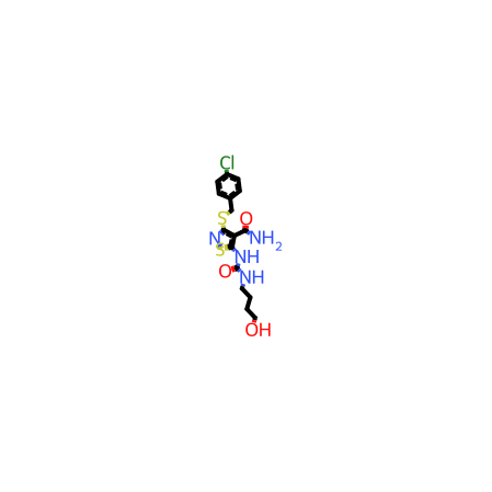 NC(=O)c1c(SCc2ccc(Cl)cc2)nsc1NC(=O)NCCCCO